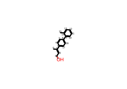 CC(=CCO)c1ccc(-c2ccccc2C)cc1